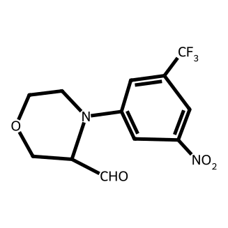 O=CC1COCCN1c1cc([N+](=O)[O-])cc(C(F)(F)F)c1